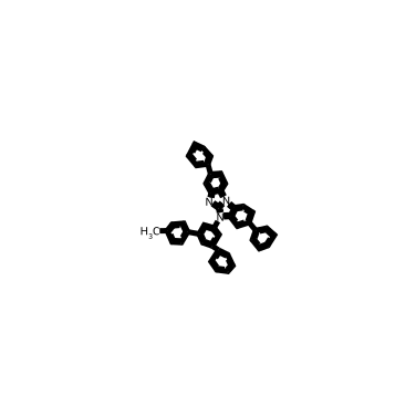 Cc1ccc(-c2cc(-c3ccccc3)cc(-n3c4cc(-c5ccccc5)ccc4n4c5ccc(-c6ccccc6)cc5nc34)c2)cc1